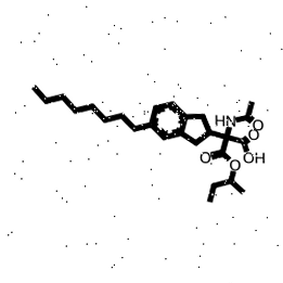 CCCCCCCCc1ccc2c(c1)CC(C(NC(C)=O)(C(=O)O)C(=O)OC(C)CC)C2